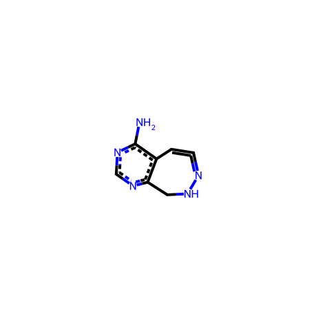 Nc1ncnc2c1C=C=NNC2